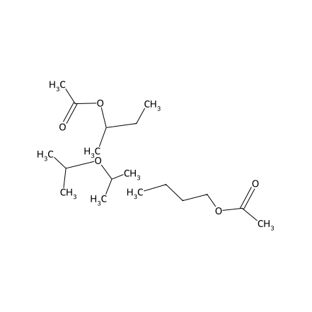 CC(C)OC(C)C.CCC(C)OC(C)=O.CCCCOC(C)=O